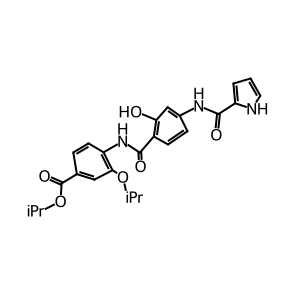 CC(C)OC(=O)c1ccc(NC(=O)c2ccc(NC(=O)c3ccc[nH]3)cc2O)c(OC(C)C)c1